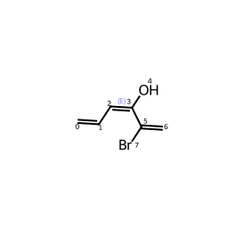 C=C/C=C(/O)C(=C)Br